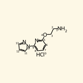 Cl.NCCOc1cccc(-n2cccn2)n1